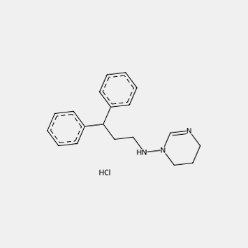 C1=NCCCN1NCCC(c1ccccc1)c1ccccc1.Cl